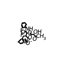 CC(=O)C(O)C(=O)OC(C(=O)Nc1ccccc1F)C(C[N+](=O)[O-])C(F)c1ccccc1